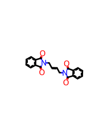 O=C1c2ccccc2C(=O)N1CC=CCN1C(=O)c2ccccc2C1=O